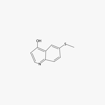 CSc1ccc2nccc(O)c2c1